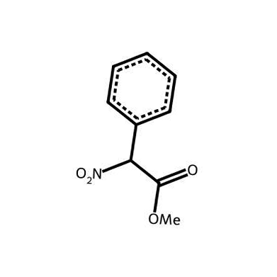 COC(=O)C(c1ccccc1)[N+](=O)[O-]